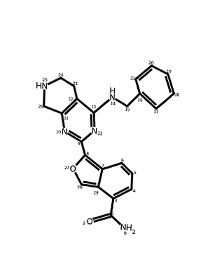 NC(=O)c1cccc2c(-c3nc4c(c(NCc5ccccc5)n3)CCNC4)occ12